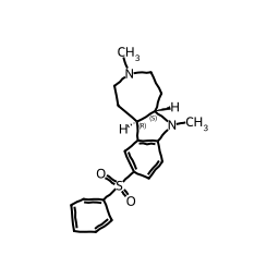 CN1CC[C@@H]2c3cc(S(=O)(=O)c4ccccc4)ccc3N(C)[C@H]2CC1